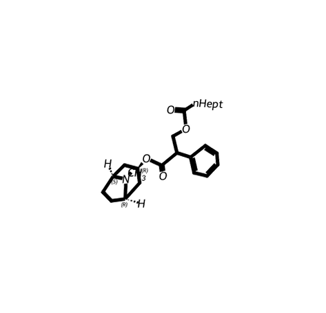 CCCCCCCC(=O)OCC(C(=O)O[C@H]1C[C@H]2CC[C@@H](C1)N2C)c1ccccc1